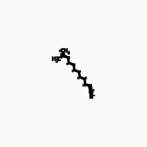 CN(C)CCCCCCCCN=[N+]=[N-]